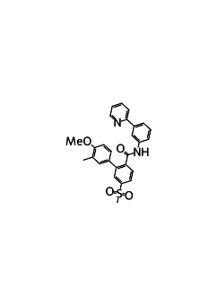 COc1ccc(-c2cc(S(C)(=O)=O)ccc2C(=O)Nc2cccc(-c3ccccn3)c2)cc1C